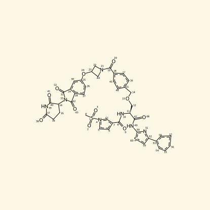 CS(=O)(=O)n1ccc(C(=O)N[C@@H](COCc2ccc(C(=O)N3CC(Oc4ccc5c(c4)C(=O)N(C4CCC(=O)NC4=O)C5=O)C3)cc2)C(=O)Nc2nc(-c3ccccc3)cs2)c1